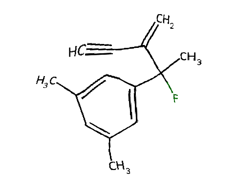 C#CC(=C)C(C)(F)c1cc(C)cc(C)c1